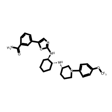 NC(=O)c1cccc(-c2cnc(N[C@@H]3CCCC[C@H]3N[C@H]3CCCN(c4ccc(OC(F)(F)F)cc4)C3)o2)c1